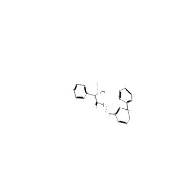 CC1(c2ccccc2)C=C(NNC(=O)C(c2ccccc2)N(C(=O)O)C(C)(C)C)C=CC1